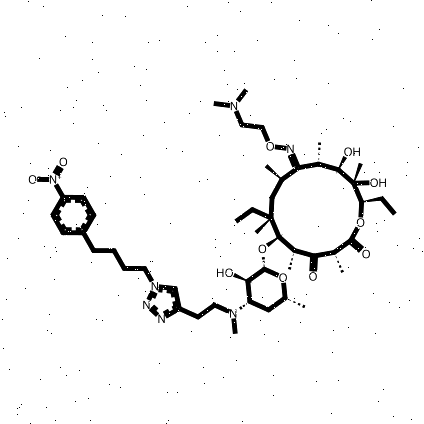 CC[C@H]1OC(=O)[C@H](C)C(=O)[C@H](C)[C@@H](O[C@@H]2O[C@H](C)C[C@H](N(C)CCc3cn(CCCCc4ccc([N+](=O)[O-])cc4)nn3)[C@H]2O)[C@](C)(CC)C[C@@H](C)/C(=N\OCCN(C)C)[C@H](C)[C@@H](O)[C@]1(C)O